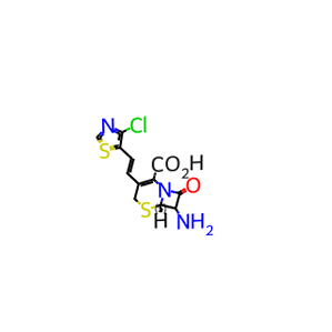 NC1C(=O)N2C(C(=O)O)=C(C=Cc3scnc3Cl)CS[C@@H]12